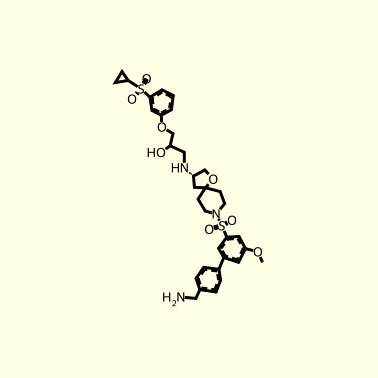 COc1cc(-c2ccc(CN)cc2)cc(S(=O)(=O)N2CCC3(CC2)C[C@H](NCC(O)COc2cccc(S(=O)(=O)C4CC4)c2)CO3)c1